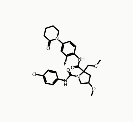 COCC1(C(=O)Nc2ccc(N3CCCCC3=O)cc2F)CC(OC)CN1C(=O)Nc1ccc(Cl)cc1